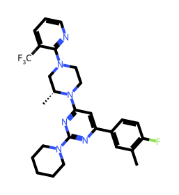 Cc1cc(-c2cc(N3CCN(c4ncccc4C(F)(F)F)C[C@H]3C)nc(N3CCCCC3)n2)ccc1F